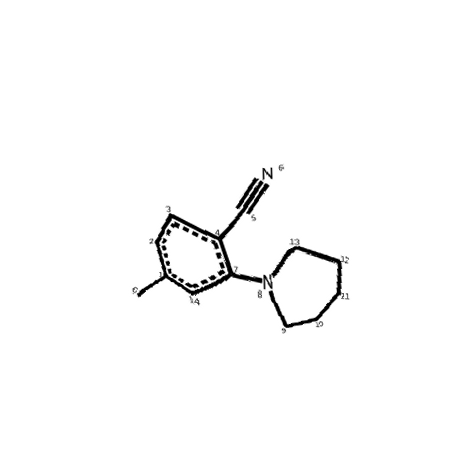 Cc1ccc(C#N)c(N2CCCCC2)c1